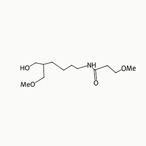 COCCC(=O)NCCCCC(CO)COC